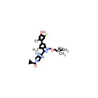 CCc1cc(O)c(F)cc1-c1cc(C)c2c(-c3nc4c([nH]3)CN(C(=O)C3CC3)C4)nn(COCC[Si](C)(C)C)c2c1